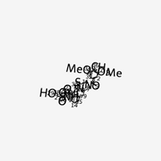 COc1cc(C(=O)N(CCCc2ccccc2)Cc2nc(CC(=O)NS(=O)(=O)CCO)cs2)cc(OC)c1C